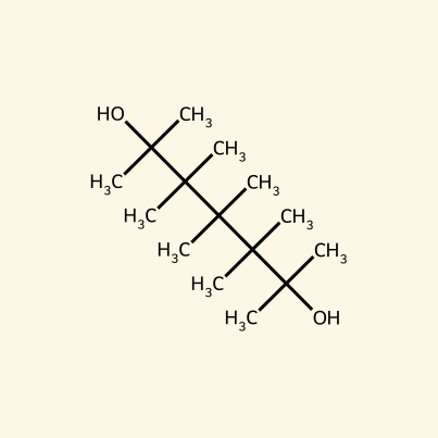 CC(C)(O)C(C)(C)C(C)(C)C(C)(C)C(C)(C)O